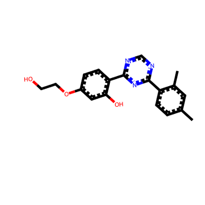 Cc1ccc(-c2ncnc(-c3ccc(OCCO)cc3O)n2)c(C)c1